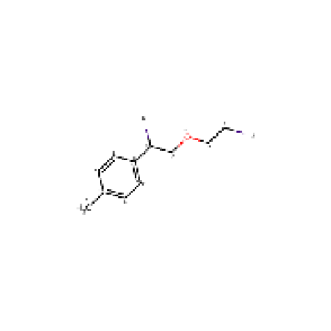 Cc1ccc(C(I)COCCI)cc1